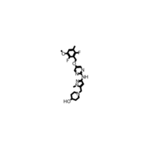 COc1cc(C)c(F)c(COc2cnc(Nc3cc(CN4CCC(O)CC4)n(C)n3)nc2)c1F